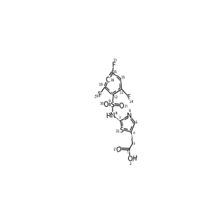 O=C(O)Cc1cnc(NS(=O)(=O)c2c(F)cc(F)cc2F)s1